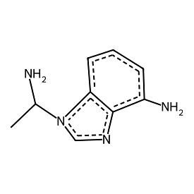 CC(N)n1cnc2c(N)cccc21